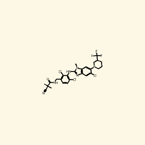 Cn1c(Nc2c(Cl)ccc(CNC(=O)C(C)(C)C#N)c2Cl)nc2cc(Cl)c(N3CCCC(C(F)(F)F)C3)cc21